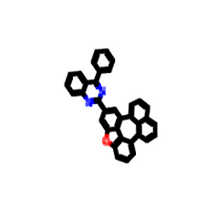 c1ccc(-c2nc(-c3cc4c5c(c3)oc3cccc(c35)-c3cccc5cccc-4c35)nc3ccccc23)cc1